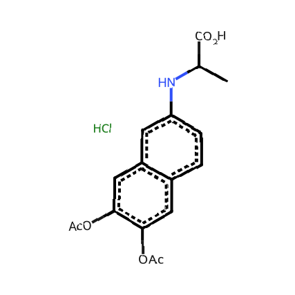 CC(=O)Oc1cc2ccc(NC(C)C(=O)O)cc2cc1OC(C)=O.Cl